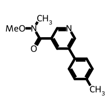 CON(C)C(=O)c1cncc(-c2ccc(C)cc2)c1